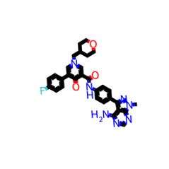 Cn1nc(-c2ccc(NC(=O)c3cn(CC4CCOCC4)cc(-c4ccc(F)cc4)c3=O)cc2)c2c(N)ncnc21